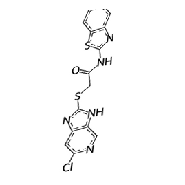 O=C(CSc1nc2cc(Cl)ncc2[nH]1)Nc1nc2ccccc2s1